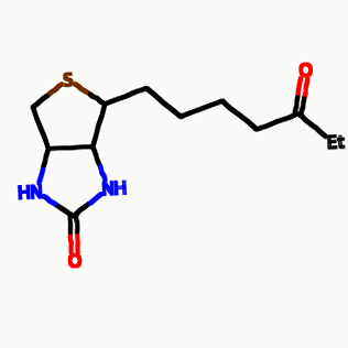 CCC(=O)CCCCC1SCC2NC(=O)NC21